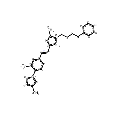 Cc1cn(-c2ccc(/C=C/c3nc(C)n(CCCCc4ccccc4)n3)cc2C)cn1